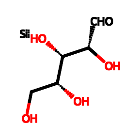 O=C[C@H](O)[C@@H](O)[C@H](O)CO.[Si]